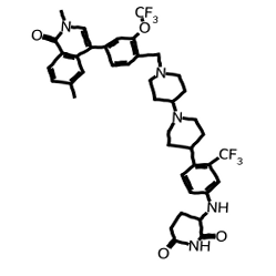 Cc1ccc2c(=O)n(C)cc(-c3ccc(CN4CCC(N5CCC(c6ccc(NC7CCC(=O)NC7=O)cc6C(F)(F)F)CC5)CC4)c(OC(F)(F)F)c3)c2c1